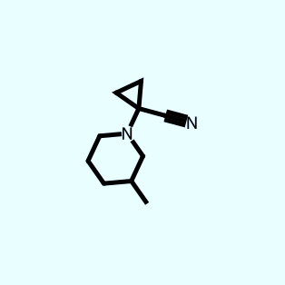 CC1CCCN(C2(C#N)CC2)C1